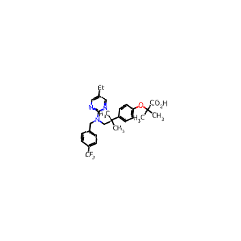 CCc1cnc(N(Cc2ccc(C(F)(F)F)cc2)CC(C)(C)c2ccc(OC(C)(C)C(=O)O)cc2)nc1